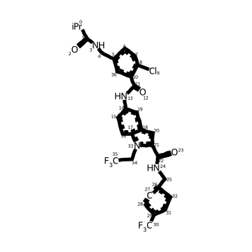 CC(C)C(=O)NCc1ccc(Cl)c(C(=O)Nc2ccc3c(c2)cc(C(=O)NCc2ccc(C(F)(F)F)cc2)n3CC(F)(F)F)c1